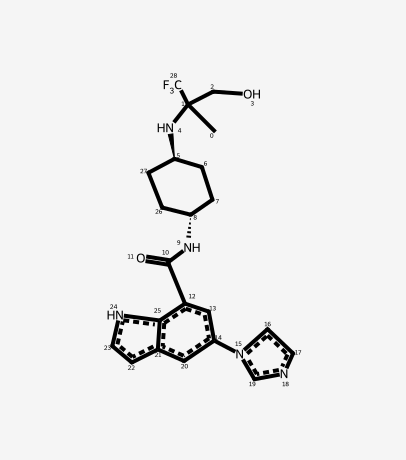 CC(CO)(N[C@H]1CC[C@H](NC(=O)c2cc(-n3ccnc3)cc3cc[nH]c23)CC1)C(F)(F)F